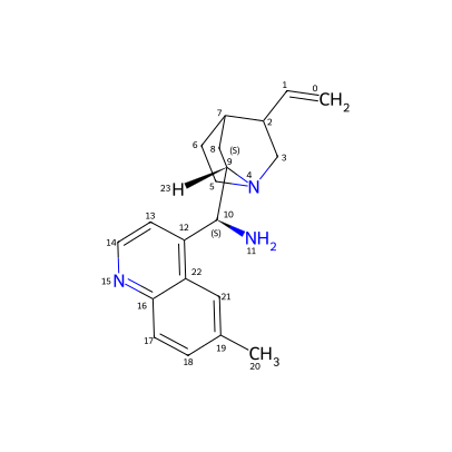 C=CC1CN2CCC1C[C@H]2[C@@H](N)c1ccnc2ccc(C)cc12